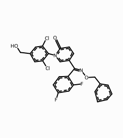 O=c1ccc(/C(=N/OCc2ccccc2)c2ccc(F)cc2F)cn1-c1c(Cl)cc(CO)cc1Cl